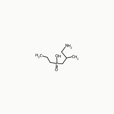 CCCP(=O)(O)CC(C)CN